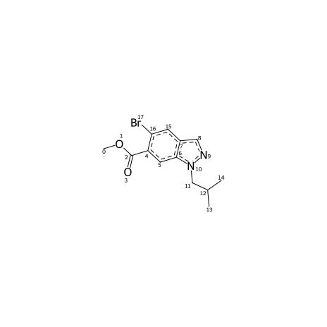 COC(=O)c1cc2c(cnn2CC(C)C)cc1Br